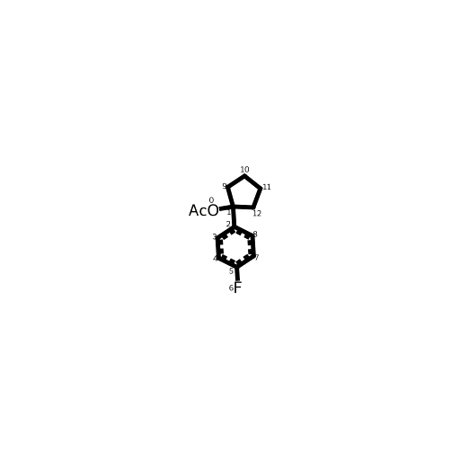 CC(=O)OC1(c2ccc(F)cc2)CCCC1